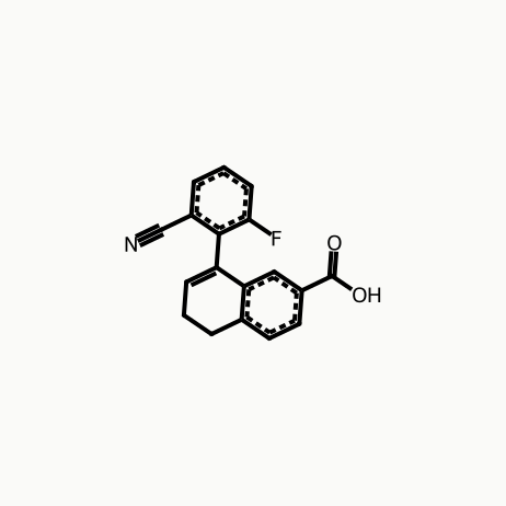 N#Cc1cccc(F)c1C1=CCCc2ccc(C(=O)O)cc21